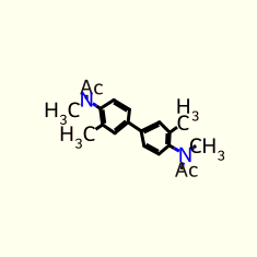 CC(=O)N(C)c1ccc(-c2ccc(N(C)C(C)=O)c(C)c2)cc1C